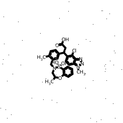 Cc1ccc(C(CC(=O)O)c2ccc3c(nnn3C)c2Cl)cc1CN1CC(C)Oc2ccccc2S1(O)O